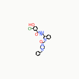 O=C(N/N=C/c1cn(CC(=O)N2CCN(Cc3ccccc3)CC2)c2ccccc12)c1ccc(O)c(Cl)c1